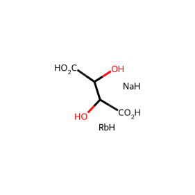 O=C(O)C(O)C(O)C(=O)O.[NaH].[RbH]